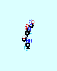 O=C1CCC(N2Cc3c(ccc(C[C@H]4OCCC[C@@H]4NC4CCC5(CC4)CC5(F)F)c3F)C2=O)C(=O)N1